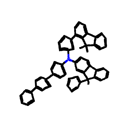 CC1(C)c2ccccc2-c2cccc(-c3cccc(N(c4ccc(-c5ccc(-c6ccccc6)cc5)cc4)c4ccc5c(c4)C(C)(c4ccccc4)c4ccccc4-5)c3)c21